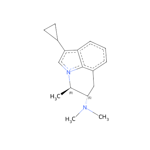 C[C@@H]1[C@@H](N(C)C)Cc2cccc3c(C4CC4)cn1c23